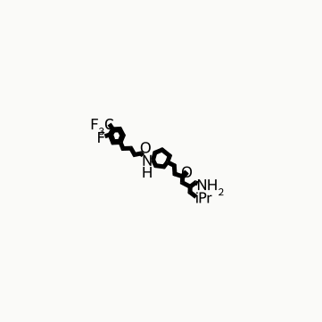 CC(C)CC(CN)CC(=O)CCC1CCCC(NC(=O)CCCc2ccc(C(F)(F)F)c(F)c2)CC1